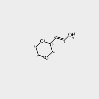 OC=CC1COCCO1